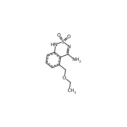 CCOCc1cccc2c1C(N)=NS(=O)(=O)N2